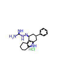 Cl.N=C(N)N/N=C1/CC(c2ccccc2)Cc2[nH]c3c(c21)CCCC3